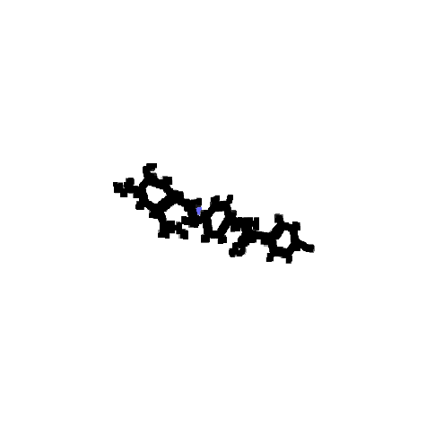 Cc1ccc(C(=O)Nc2ccc(/N=N/c3cc(C)c(N)cc3N)cc2)cc1